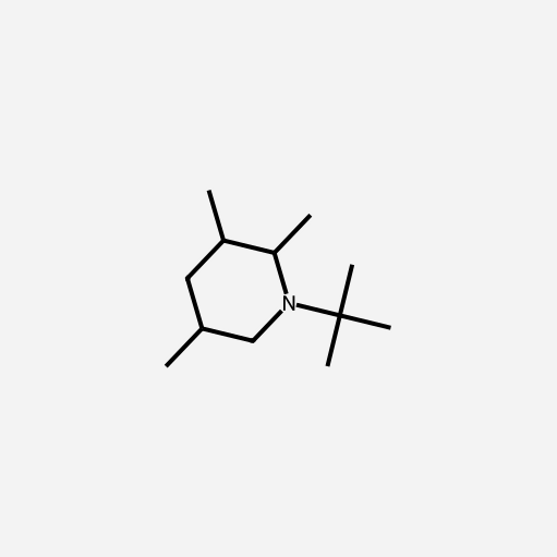 CC1CC(C)C(C)N(C(C)(C)C)C1